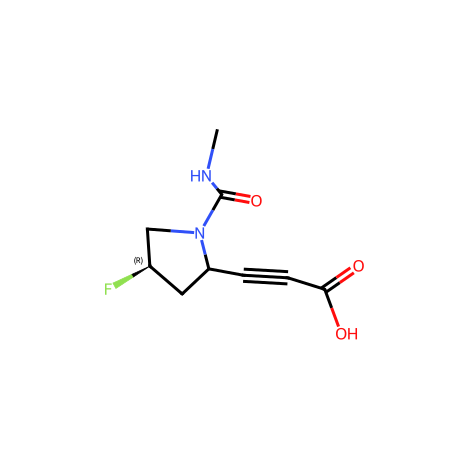 CNC(=O)N1C[C@H](F)CC1C#CC(=O)O